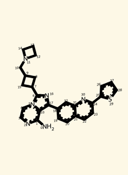 Nc1nccn2c(C3CC(CN4CCC4)C3)nc(-c3ccc4ccc(-c5cccs5)nc4c3)c12